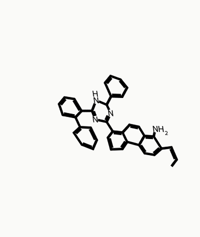 C/C=C\c1ccc2c(ccc3c(C4=NC(c5ccccc5)NC(c5ccccc5-c5ccccc5)=N4)cccc32)c1N